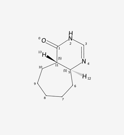 O=C1NC=N[C@H]2CCCCC[C@H]12